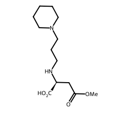 COC(=O)C[C@H](NCCCN1CCCCC1)C(=O)O